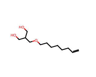 C=CCCCCCCOCC(CO)CO